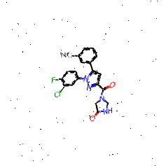 N#Cc1cccc(-c2cc(C(=O)N3CNC(=O)C3)nn2-c2ccc(F)c(Cl)c2)c1